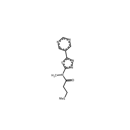 CSCCC(=O)N(C)c1nnc(-c2cncnc2)s1